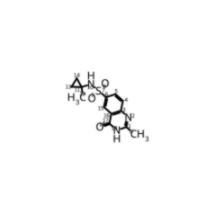 Cc1nc2ccc(S(=O)(=O)NC3(C)CC3)cc2c(=O)[nH]1